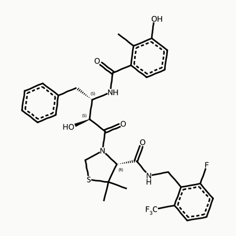 Cc1c(O)cccc1C(=O)N[C@@H](Cc1ccccc1)[C@H](O)C(=O)N1CSC(C)(C)[C@H]1C(=O)NCc1c(F)cccc1C(F)(F)F